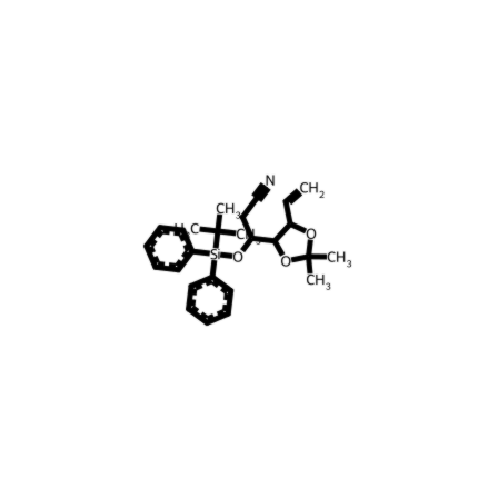 C=CC1OC(C)(C)OC1C(CC#N)O[Si](c1ccccc1)(c1ccccc1)C(C)(C)C